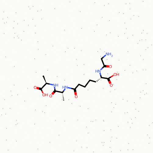 C[C@@H](NC(=O)[C@@H](C)NC(=O)CCCC[C@H](NC(=O)CN)C(=O)O)C(=O)O